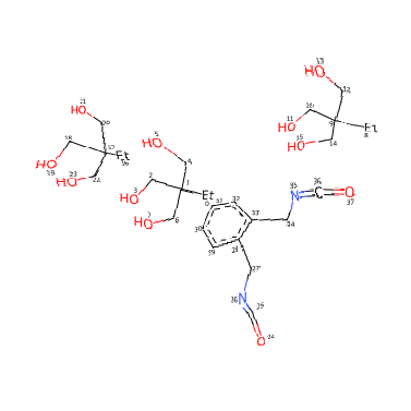 CCC(CO)(CO)CO.CCC(CO)(CO)CO.CCC(CO)(CO)CO.O=C=NCc1ccccc1CN=C=O